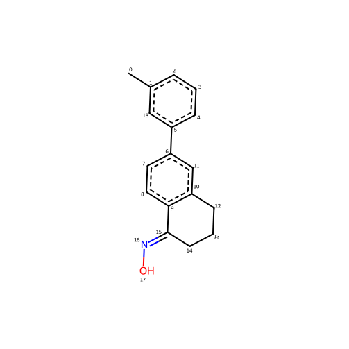 Cc1cccc(-c2ccc3c(c2)CCCC3=NO)c1